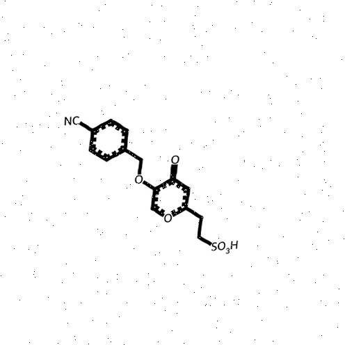 N#Cc1ccc(COc2coc(CCS(=O)(=O)O)cc2=O)cc1